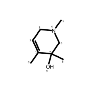 CC1=CCN(C)CC1(C)O